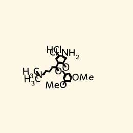 COc1cc(COc2cc(N)c(Cl)cc2C(=O)CCCCN(C)C)cc(OC)c1.Cl